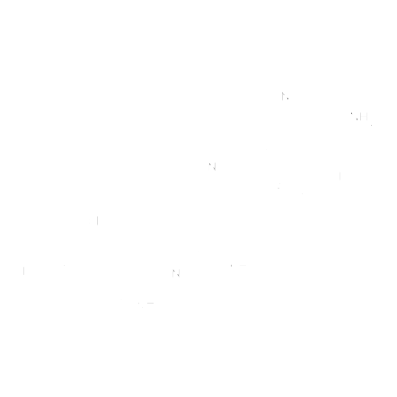 Cc1nc([C@@]2(C)CCC(F)(F)C2)c(Cl)cc1-c1cc(=O)c2c(C(N)O)nccc2[nH]1